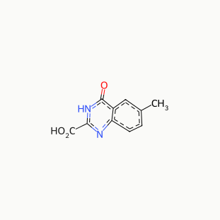 Cc1ccc2nc(C(=O)O)[nH]c(=O)c2c1